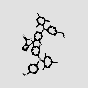 COc1ccc(N(c2ccc3c(c2)Oc2cc(N(c4ccc(CO)cc4)c4c(C)cc(C)cc4C)ccc2C32OC(=O)c3ccccc32)c2c(C)cc(C)cc2C)cc1